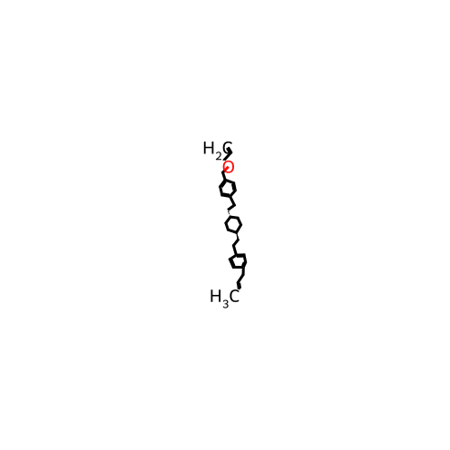 C=CCOCc1ccc(CC[C@H]2CC[C@H](CCc3ccc(C/C=C/C)cc3)CC2)cc1